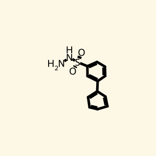 NNS(=O)(=O)c1cccc(-c2ccccc2)c1